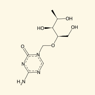 C[C@@H](O)[C@H](O)[C@@H](CO)OCn1cnc(N)nc1=O